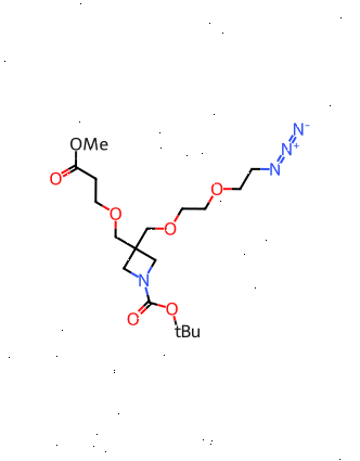 COC(=O)CCOCC1(COCCOCCN=[N+]=[N-])CN(C(=O)OC(C)(C)C)C1